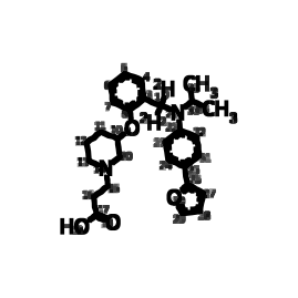 [2H]C([2H])(c1ccccc1OC1CCCN(CCC(=O)O)C1)N(c1ccc(-c2ccco2)cc1)C(C)C